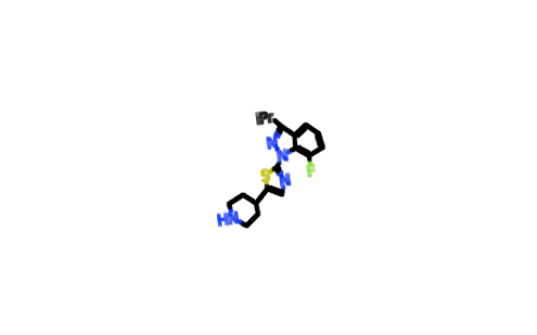 CC(C)c1nn(-c2ncc(C3CCNCC3)s2)c2c(F)cccc12